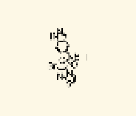 Cl.O=S(=O)(Nc1ccc2[nH]ncc2c1)c1c(Br)nc2sccn12